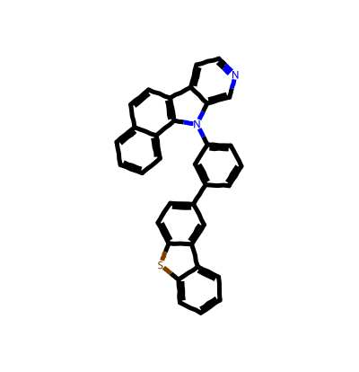 c1cc(-c2ccc3sc4ccccc4c3c2)cc(-n2c3cnccc3c3ccc4ccccc4c32)c1